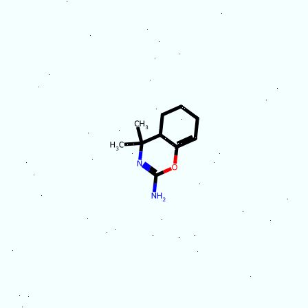 CC1(C)N=C(N)OC2=CCCCC21